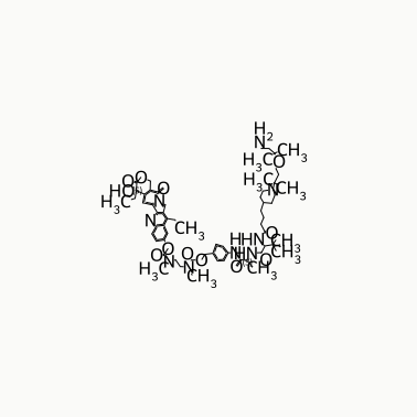 CCc1c2c(nc3ccc(OC(=O)N(C)CCN(C)C(=O)OCc4ccc(NC(=O)[C@H](C)NC(=O)C(NC(=O)CCCC5CCN(C(C)(C)CCOC(C)(C)CCN)CC5)C(C)C)cc4)cc13)-c1cc3c(c(=O)n1C2)COC(=O)[C@]3(O)CC